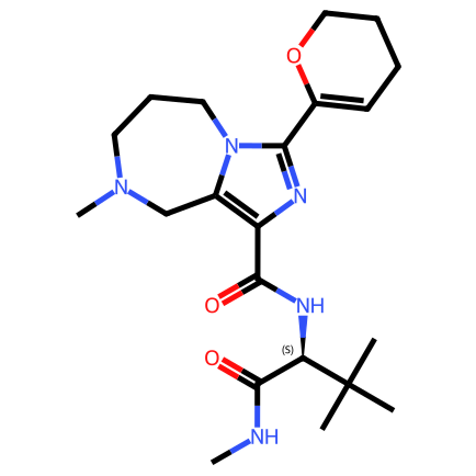 CNC(=O)[C@@H](NC(=O)c1nc(C2=CCCCO2)n2c1CN(C)CCC2)C(C)(C)C